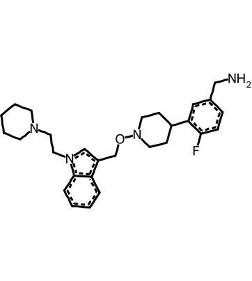 NCc1ccc(F)c(C2CCN(OCc3cn(CCN4CCCCC4)c4ccccc34)CC2)c1